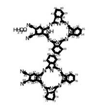 N#Cc1cc2c3nc4nc(nc5[nH]c(nc6nc(nc([nH]3)c2cc1C#N)-c1ccccc1-6)c1ccccc51)-c1ccccc1-4.N#Cc1cc2c3nc4nc(nc5[nH]c(nc6nc(nc([nH]3)c2cc1C#N)-c1ccccc1-6)c1ccccc51)-c1ccccc1-4.O.O